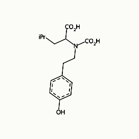 CC(C)CC(C(=O)O)N(CCc1ccc(O)cc1)C(=O)O